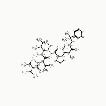 CC[C@H](C)[C@@H]([C@@H](CC(=O)N1CCC[C@H]1[C@H](OC)[C@@H](C)C(=O)NC[C@@](C)(O)c1ccccc1)OC)N(C)C(=O)[C@@H](NC(=O)[C@H](C(C)C)N(C)C)C(C)C